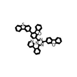 c1cncc(-c2ccccc2-c2nc(-c3ccc4c(c3)oc3ccccc34)nc(-c3ccc(-c4ccc5sc6ccccc6c5c4)c4c3oc3ccccc34)n2)c1